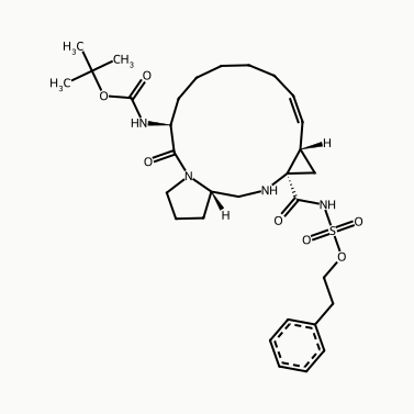 CC(C)(C)OC(=O)N[C@H]1CCCCC/C=C\[C@@H]2C[C@@]2(C(=O)NS(=O)(=O)OCCc2ccccc2)NC[C@@H]2CCCN2C1=O